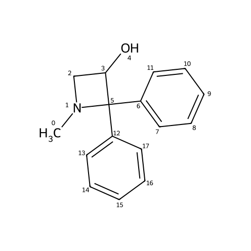 CN1CC(O)C1(c1ccccc1)c1ccccc1